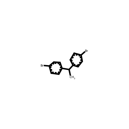 CC(c1ccc(Br)cc1)c1ccc(Br)cc1